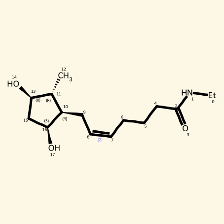 CCNC(=O)CCC/C=C\C[C@@H]1[C@@H](C)[C@H](O)C[C@@H]1O